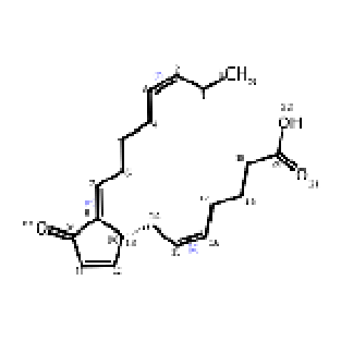 CC/C=C\CCC/C=C1/C(=O)C=C[C@H]1C/C=C\CCCC(=O)O